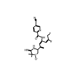 C=C(/C=C(\C=C(\F)CF)NC(=O)c1ccc(C#N)cn1)C1C[S+]([O-])C(C)(C)C(=N)N1